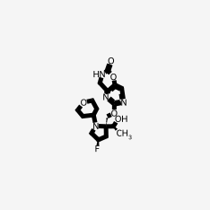 C[C@H](O)[C@@]1(COc2ncc3c(n2)CNC(=O)O3)C[C@@H](F)CN1C1CCOCC1